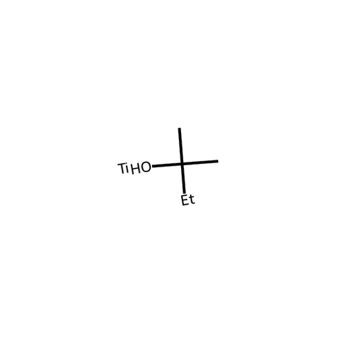 CCC(C)(C)O.[Ti]